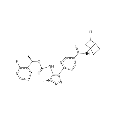 C[C@@H](OC(=O)Nc1c(-c2ccc(C(=O)NC34CCC3C(Cl)C4)cn2)nnn1C)c1cccnc1F